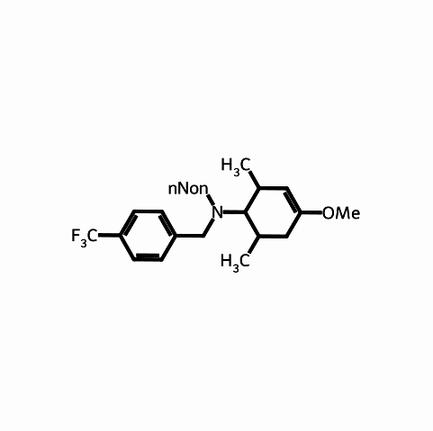 CCCCCCCCCN(Cc1ccc(C(F)(F)F)cc1)C1C(C)C=C(OC)CC1C